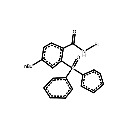 CCCCc1ccc(C(=O)NCC)c(P(=O)(c2ccccc2)c2ccccc2)c1